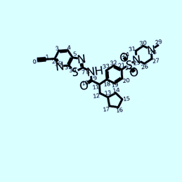 C#Cc1ccc2nc(NC(=O)C(CC3CCCC3)c3ccc(S(=O)(=O)N4CCN(C)CC4)cc3)sc2n1